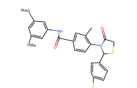 COc1cc(NC(=O)c2ccc(N3C(=O)CSC3c3ccc(F)cc3)c(C)c2)cc(OC)c1